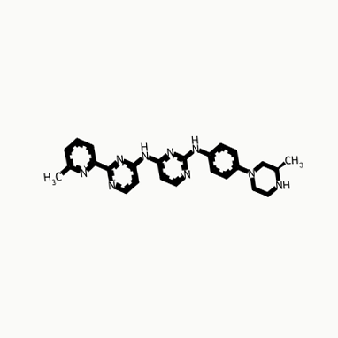 Cc1cccc(-c2nccc(Nc3ccnc(Nc4ccc(N5CCN[C@H](C)C5)cc4)n3)n2)n1